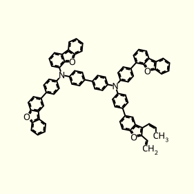 C=Cc1oc2ccc(-c3ccc(N(c4ccc(-c5ccc(N(c6ccc(-c7ccc8oc9ccccc9c8c7)cc6)c6cccc7c6oc6ccccc67)cc5)cc4)c4ccc(-c5cccc6c5oc5ccccc56)cc4)cc3)cc2c1/C=C\C